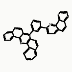 c1cc(-c2ccc3ccc4cccnc4c3n2)cc(-c2c3ccc4ccccc4c3nc3c2ccc2ccccc23)c1